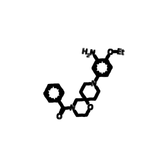 CCOc1ccc(N2CCC3(CC2)CN(C(=O)c2ccccc2)CCO3)cc1N